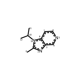 Cc1nc2cnccc2n1C(C)C